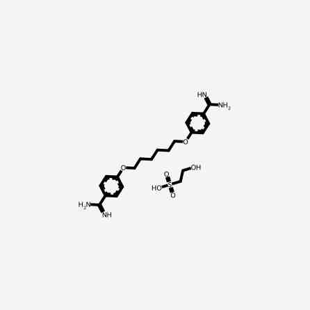 N=C(N)c1ccc(OCCCCCCOc2ccc(C(=N)N)cc2)cc1.O=S(=O)(O)CCO